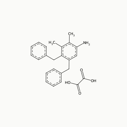 Cc1c(N)cc(Cc2ccccc2)c(Cc2ccccc2)c1C.O=C(O)C(=O)O